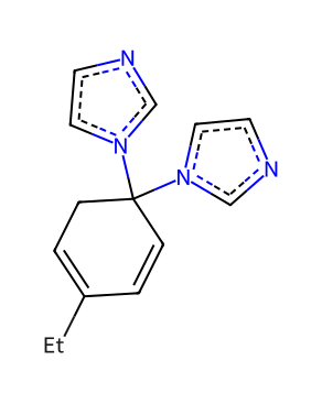 [CH2]CC1=CCC(n2ccnc2)(n2ccnc2)C=C1